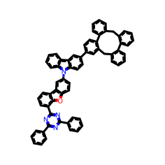 c1ccc(-c2nc(-c3ccccc3)nc(-c3cccc4c3oc3ccc(-n5c6ccccc6c6cc(-c7ccc8c(c7)Cc7ccccc7-c7ccccc7Cc7ccccc7-8)ccc65)cc34)n2)cc1